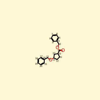 O=C(OCc1ccccc1)C1CCC(OCc2ccccc2)C1